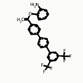 C=C(Oc1ccccc1N)c1ccc(-c2ccc(-c3cc(C(F)(F)F)cc(C(F)(F)F)c3)cc2)cc1